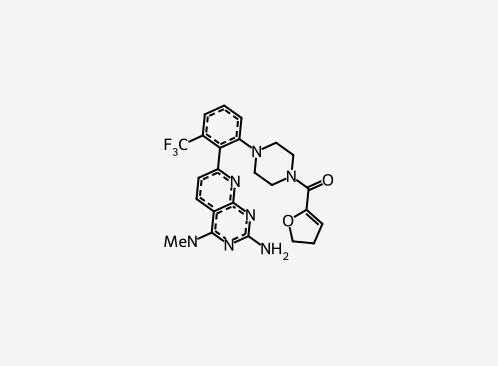 CNc1nc(N)nc2nc(-c3c(N4CCN(C(=O)C5=CCCO5)CC4)cccc3C(F)(F)F)ccc12